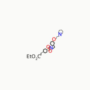 CCOC(=O)/C=C/c1ccc(S(=O)(=O)n2ccc3cc(OCCCN4CCCCC4)ccc32)cc1